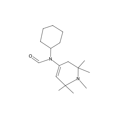 CN1C(C)(C)C=C(N(C=O)C2CCCCC2)CC1(C)C